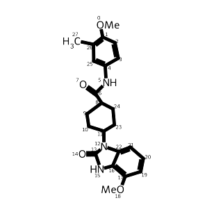 COc1ccc(NC(=O)C2CCC(n3c(=O)[nH]c4c(OC)cccc43)CC2)cc1C